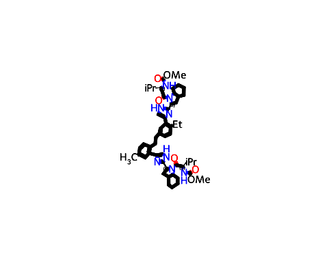 CCc1ccc(CCc2ccc(C)cc2-c2c[nH]c([C@@H]3CC4CCCCC4N3C(=O)[C@@H](NC(=O)OC)C(C)C)n2)cc1-c1c[nH]c([C@@H]2CC3CCCCC3N2C(=O)[C@@H](NC(=O)OC)C(C)C)n1